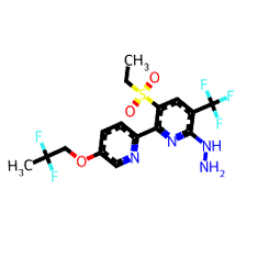 CCS(=O)(=O)c1cc(C(F)(F)F)c(NN)nc1-c1ccc(OCC(C)(F)F)cn1